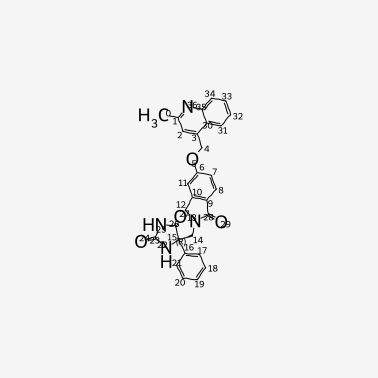 Cc1cc(COc2ccc3c(c2)CN(C[C@@]2(c4ccccc4)NC(=O)NC2=O)C3=O)c2ccccc2n1